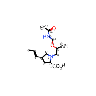 CC=C[C@@H]1C[C@H](C(=O)O)N(CC(CCC)OCNC(=O)CC)C1